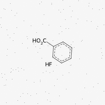 F.O=C(O)c1ccccc1